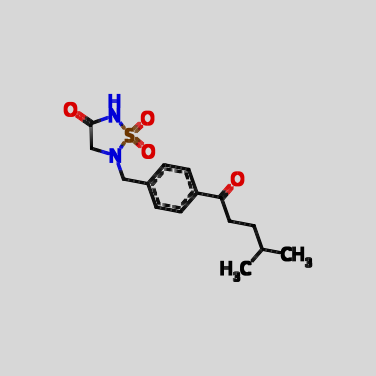 CC(C)CCC(=O)c1ccc(CN2CC(=O)NS2(=O)=O)cc1